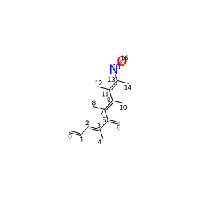 C=C/C=C(\C)C(=C)/C(C)=C(C)/C(C)=C(\C)N=O